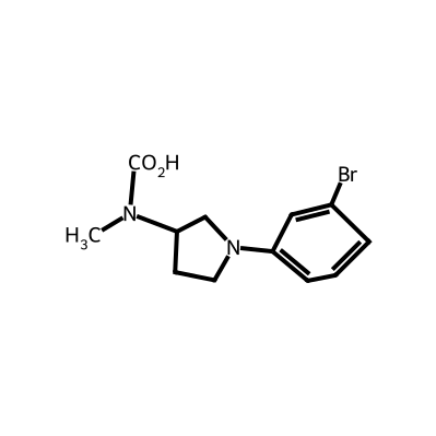 CN(C(=O)O)C1CCN(c2cccc(Br)c2)C1